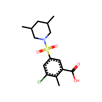 Cc1c(Cl)cc(S(=O)(=O)N2CC(C)CC(C)C2)cc1C(=O)O